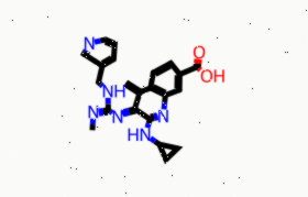 C=C1/C(=N\C(=N/C)NCc2cccnc2)C(NC2CC2)=Nc2cc(C(=O)O)ccc21